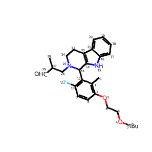 Cc1c(OCCOC(C)(C)C)ccc(F)c1C1c2[nH]c3ccccc3c2CCN1CC(C)C=O